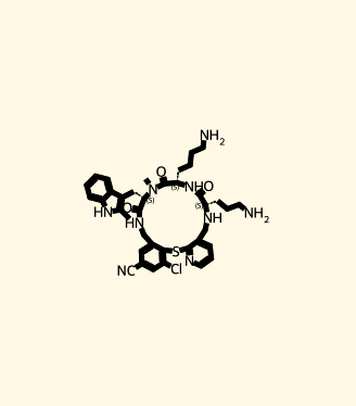 Cc1[nH]c2ccccc2c1C[C@H]1C(=O)NCc2cc(C#N)cc(Cl)c2Sc2ncccc2CN[C@@H](CCCN)C(=O)N[C@@H](CCCCN)C(=O)N1C